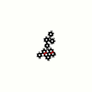 c1ccc(-c2ccc(N(c3ccc(-c4cccc5c4c4ccccc4n5-c4ccccc4)cc3)c3ccccc3-c3cccc4cccc(-c5ccccc5)c34)cc2)cc1